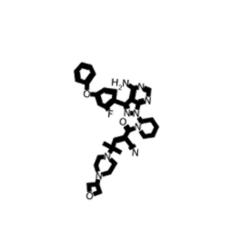 CC(C)(C=C(C#N)C(=O)N1CCCCC1n1nc(-c2ccc(Oc3ccccc3)cc2F)c2c(N)ncnc21)N1CCN(C2COC2)CC1